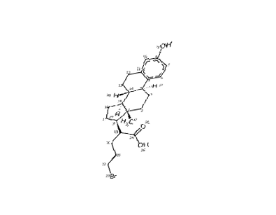 C[C@]12CC[C@@H]3c4ccc(O)cc4CC[C@H]3[C@@H]1CC[C@@H]2C(CCCBr)C(=O)O